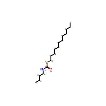 CCCCCCCCCCCCSC(=O)NCCCC